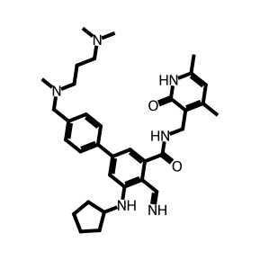 Cc1cc(C)c(CNC(=O)c2cc(-c3ccc(CN(C)CCCN(C)C)cc3)cc(NC3CCCC3)c2C=N)c(=O)[nH]1